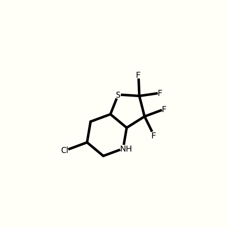 FC1(F)SC2CC(Cl)CNC2C1(F)F